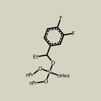 CCCCCC[Si](OCCC)(OCCC)OC(CC)c1ccc(F)c(F)c1